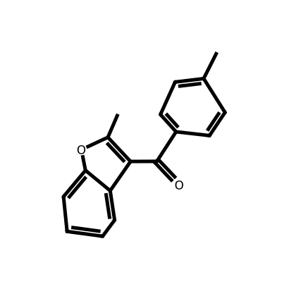 Cc1ccc(C(=O)c2c(C)oc3ccccc23)cc1